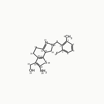 Cc1cccc(F)c1CN1CC2C(=N1)CCc1c2sc(N)c1CO